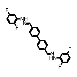 Fc1ccc(F)c(N/N=C/c2ccc(-c3ccc(/C=N/Nc4cc(F)ccc4F)cc3)cc2)c1